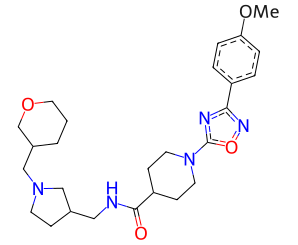 COc1ccc(-c2noc(N3CCC(C(=O)NCC4CCN(CC5CCCOC5)C4)CC3)n2)cc1